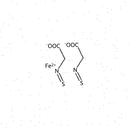 O=C([O-])CN=S.O=C([O-])CN=S.[Fe+2]